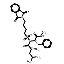 CNC(=O)[C@H](Cc1ccccc1)N(C(=O)[C@@H](N)CC(C)C)S(=O)(=O)CCCCN1C(=O)c2ccccc2C1=O